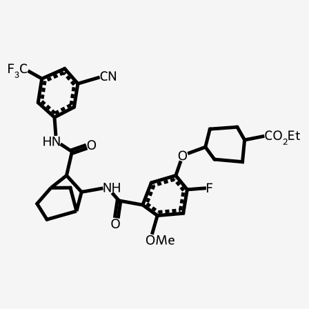 CCOC(=O)C1CCC(Oc2cc(C(=O)NC3C4CCC(C4)C3C(=O)Nc3cc(C#N)cc(C(F)(F)F)c3)c(OC)cc2F)CC1